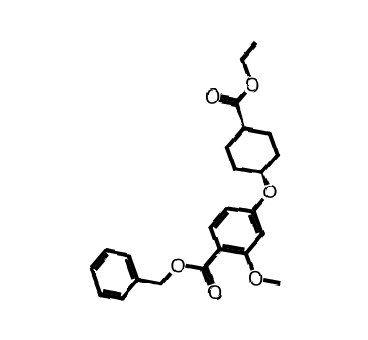 CCOC(=O)[C@H]1CC[C@@H](Oc2ccc(C(=O)OCc3ccccc3)c(OC)c2)CC1